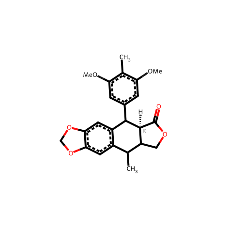 COc1cc(C2c3cc4c(cc3C(C)C3COC(=O)[C@H]23)OCO4)cc(OC)c1C